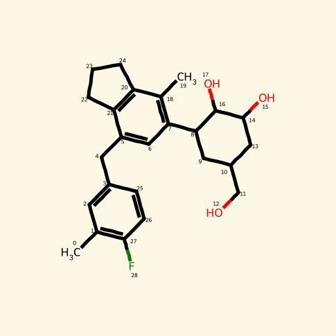 Cc1cc(Cc2cc(C3CC(CO)CC(O)C3O)c(C)c3c2CCC3)ccc1F